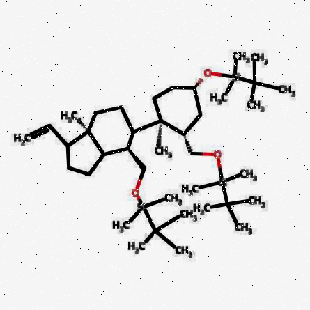 C=CC1CCC2[C@H](CO[Si](C)(C)C(C)(C)C)C([C@@]3(C)CC[C@H](O[Si](C)(C)C(C)(C)C)C[C@@H]3CO[Si](C)(C)C(C)(C)C)CC[C@]12C